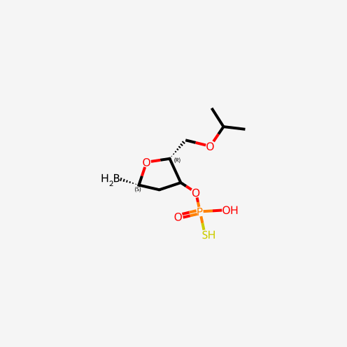 B[C@H]1CC(OP(=O)(O)S)[C@@H](COC(C)C)O1